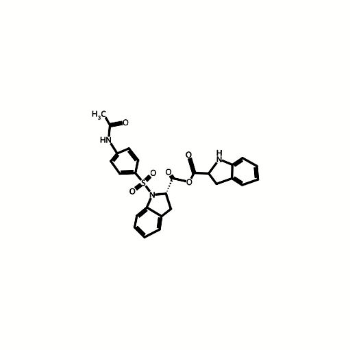 CC(=O)Nc1ccc(S(=O)(=O)N2c3ccccc3C[C@H]2C(=O)OC(=O)C2Cc3ccccc3N2)cc1